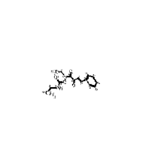 CCNC(=O)ON(CC)C(=O)C(=O)/C=C/c1ccccc1